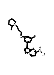 CCNc1ccn2ncc(-c3cc(F)cc(OCCCN4CCCCC4C)c3)c2n1